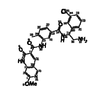 COc1cc2[nH]c(=O)c(C(=O)Nc3cc(C(=O)NC(CN)c4cccc(Cl)c4)ccc3C)cc2cn1